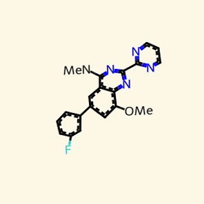 CNc1nc(-c2ncccn2)nc2c(OC)cc(-c3cccc(F)c3)cc12